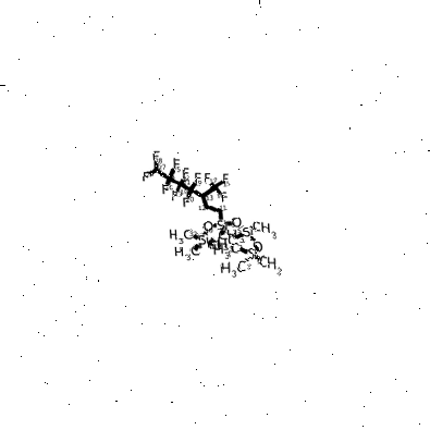 C[Si](C)(C)O[Si](C)(C)O[Si](C)(CCC(C(F)(F)F)C(F)(F)C(F)(F)C(F)(F)C(F)F)O[Si](C)(C)C